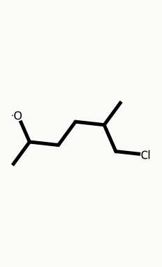 CC([O])CCC(C)CCl